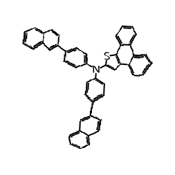 c1ccc2cc(-c3ccc(N(c4ccc(-c5ccc6ccccc6c5)cc4)c4cc5c6ccccc6c6ccccc6c5s4)cc3)ccc2c1